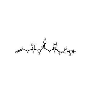 C=CCNOC(=O)CNCCO